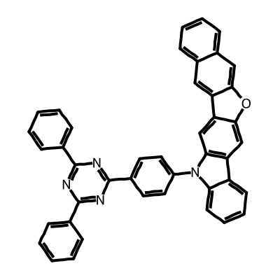 c1ccc(-c2nc(-c3ccccc3)nc(-c3ccc(-n4c5ccccc5c5cc6oc7cc8ccccc8cc7c6cc54)cc3)n2)cc1